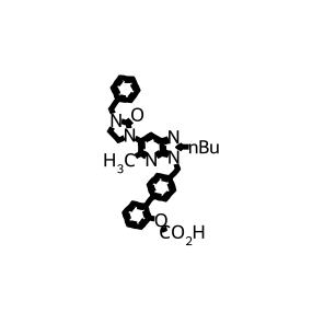 CCCCc1nc2cc(N3CCN(Cc4ccccc4)C3=O)c(C)nc2n1Cc1ccc(-c2ccccc2OC(=O)O)cc1